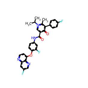 Cc1c(-c2ccc(F)cc2)c(=O)c(C(=O)Nc2ccc(Oc3ccnc4cc(F)cnc34)c(F)c2)cn1C(C)C